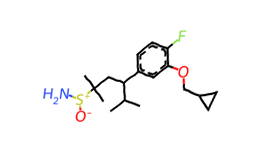 CC(C)C(CC(C)(C)[S+](N)[O-])c1ccc(F)c(OCC2CC2)c1